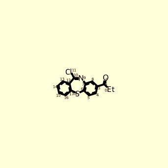 CCC(=O)c1ccc2c(c1)N=C(Cl)c1ccccc1S2